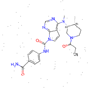 C[C@@H]1CCN(C(=O)CC#N)C[C@@H]1N(C)c1ncnc2c1ccn2C(=O)Nc1ccc(C(N)=O)cc1